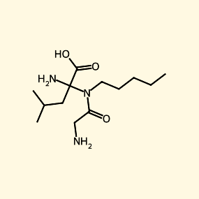 CCCCCN(C(=O)CN)C(N)(CC(C)C)C(=O)O